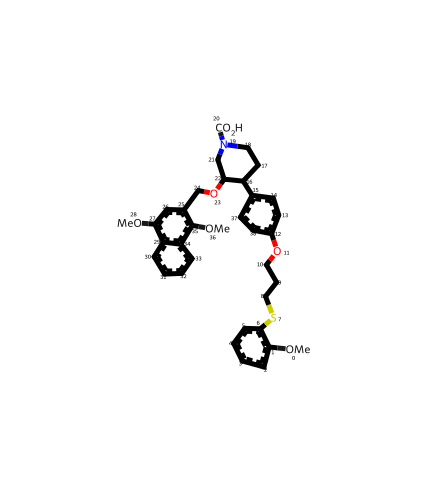 COc1ccccc1SCCCOc1ccc(C2CCN(C(=O)O)CC2OCc2cc(OC)c3ccccc3c2OC)cc1